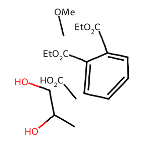 CC(=O)O.CC(O)CO.CCOC(=O)c1ccccc1C(=O)OCC.COC